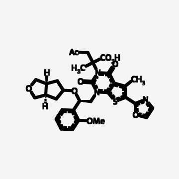 COc1ccccc1[C@H](Cn1c(=O)n(C(C)(CC(C)=O)C(=O)O)c(=O)c2c(C)c(-c3ncco3)sc21)OC1C[C@H]2COC[C@@H]2C1